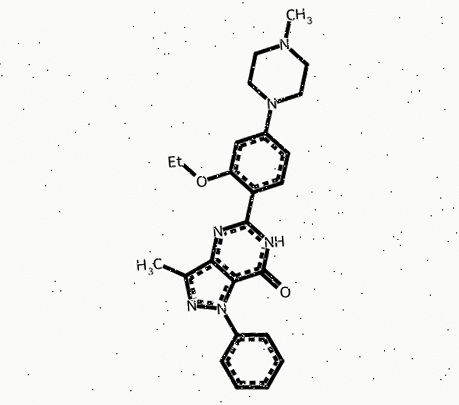 CCOc1cc(N2CCN(C)CC2)ccc1-c1nc2c(C)nn(-c3ccccc3)c2c(=O)[nH]1